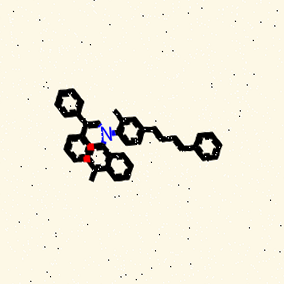 Cc1cc(C=CC=Cc2ccccc2)ccc1N(C=C(c1ccccc1)c1ccccc1)c1ccc(C)c2ccccc12